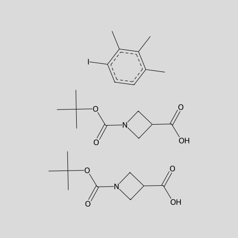 CC(C)(C)OC(=O)N1CC(C(=O)O)C1.CC(C)(C)OC(=O)N1CC(C(=O)O)C1.Cc1ccc(I)c(C)c1C